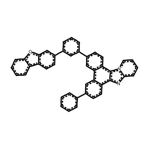 c1ccc(-c2ccc3c(c2)c2cc(-c4cccc(-c5ccc6c(c5)oc5ccccc56)c4)ccc2c2c3nc3ccccn32)cc1